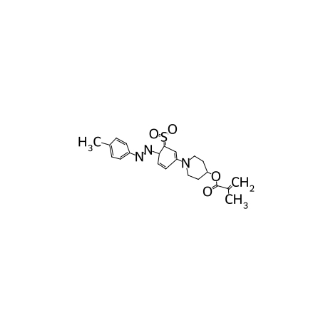 C=C(C)C(=O)OC1CCN(C2=CC(=S(=O)=O)C(N=Nc3ccc(C)cc3)C=C2)CC1